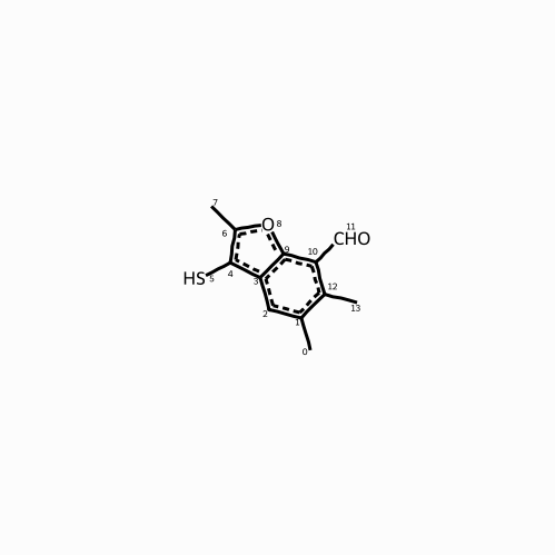 Cc1cc2c(S)c(C)oc2c(C=O)c1C